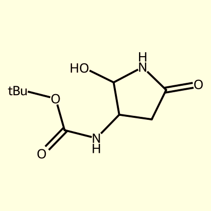 CC(C)(C)OC(=O)NC1CC(=O)NC1O